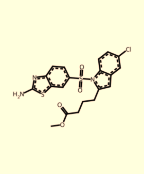 COC(=O)CCCc1cc2cc(Cl)ccc2n1S(=O)(=O)c1ccc2nc(N)sc2c1